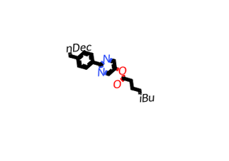 CCCCCCCCCCCc1ccc(-c2ncc(OC(=O)CCCC(C)CC)cn2)cc1